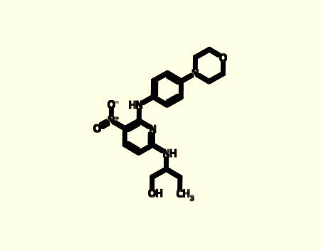 CCC(CO)Nc1ccc([N+](=O)[O-])c(Nc2ccc(N3CCOCC3)cc2)n1